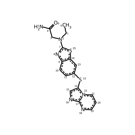 CCN(CC(N)=O)c1nc2ccc(Sc3cnc4ncccn34)cc2s1